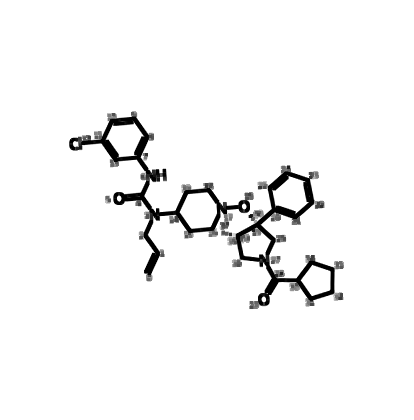 C=CCN(C(=O)Nc1cccc(Cl)c1)C1CCN(O[C@]2(c3ccccc3)CN(C(=O)C3CCCC3)C[C@@H]2C)CC1